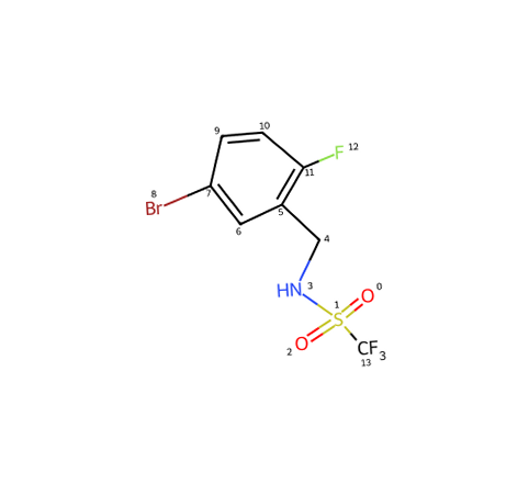 O=S(=O)(NCc1cc(Br)ccc1F)C(F)(F)F